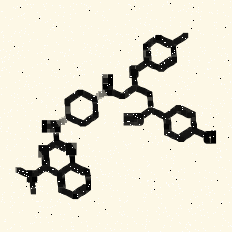 Cc1ccc(SC(CN[C@H]2CC[C@@H](Nc3nc(N(C)C)c4ccccc4n3)CC2)CC(O)c2ccc(Cl)cc2)cc1